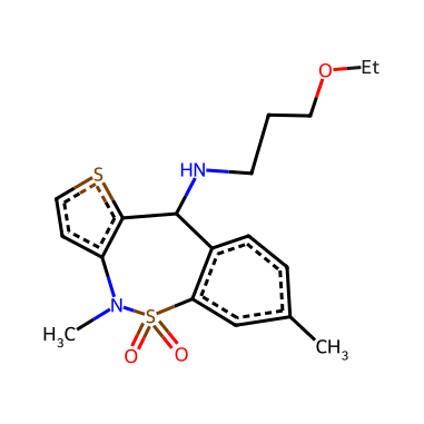 CCOCCCNC1c2ccc(C)cc2S(=O)(=O)N(C)c2ccsc21